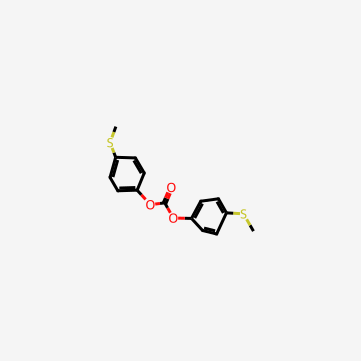 CSc1ccc(OC(=O)Oc2ccc(SC)cc2)cc1